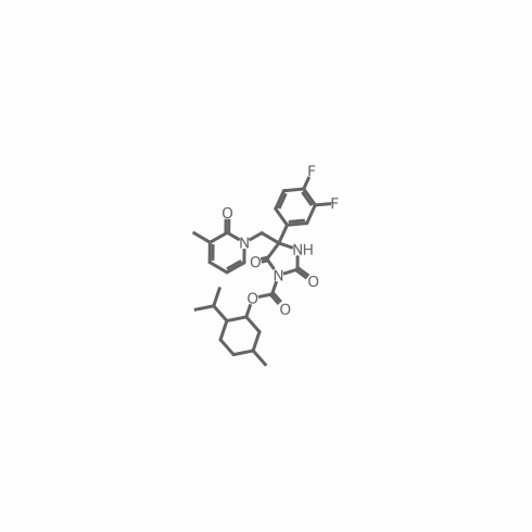 Cc1cccn(CC2(c3ccc(F)c(F)c3)NC(=O)N(C(=O)OC3CC(C)CCC3C(C)C)C2=O)c1=O